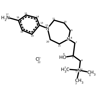 C[N+](C)(C)CC(O)CN1CCCN(c2ccc(N)cc2)CC1.[Cl-]